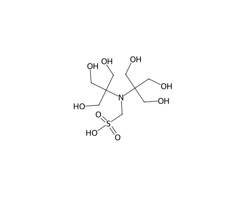 O=S(=O)(O)CN(C(CO)(CO)CO)C(CO)(CO)CO